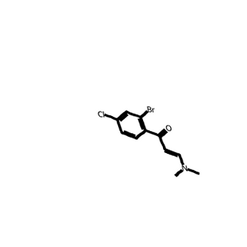 CN(C)/C=C/C(=O)c1ccc(Cl)cc1Br